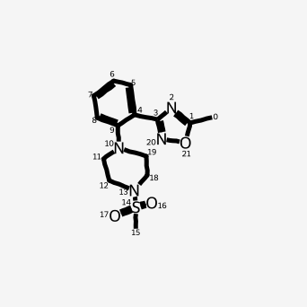 Cc1nc(-c2c[c]ccc2N2CCN(S(C)(=O)=O)CC2)no1